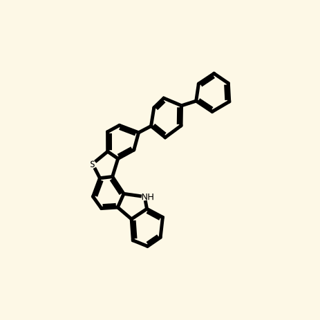 c1ccc(-c2ccc(-c3ccc4sc5ccc6c7ccccc7[nH]c6c5c4c3)cc2)cc1